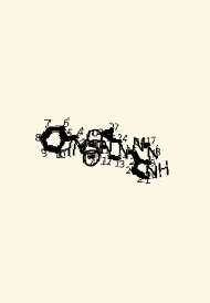 O=S(=O)(NCc1ccccc1)N1CCN(c2ncnc3[nH]ccc23)CC12CC2